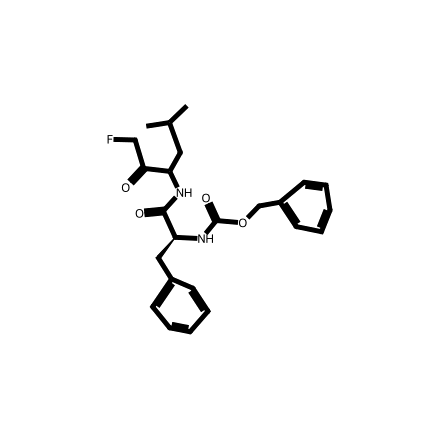 CC(C)CC(NC(=O)[C@H](Cc1ccccc1)NC(=O)OCc1ccccc1)C(=O)CF